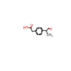 CC(C=O)c1ccc(CC(=O)O)cc1